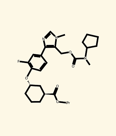 CC(C)OC(=O)[C@H]1CCC[C@H](Oc2ccc(-c3ncn(C)c3COC(=O)N(C)C3CCCC3)cc2F)C1